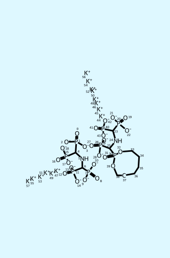 O=P([O-])([O-])C(NC(P(=O)([O-])[O-])P(=O)([O-])[O-])P(=O)([O-])[O-].O=P([O-])([O-])C(NC(P(=O)([O-])[O-])P1(=O)OCCCCCCO1)P(=O)([O-])[O-].[K+].[K+].[K+].[K+].[K+].[K+].[K+].[K+].[K+].[K+].[K+].[K+].[K+].[K+]